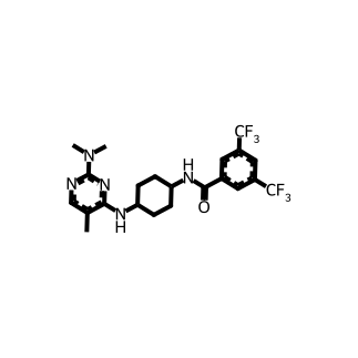 Cc1cnc(N(C)C)nc1NC1CCC(NC(=O)c2cc(C(F)(F)F)cc(C(F)(F)F)c2)CC1